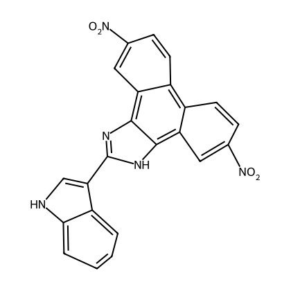 O=[N+]([O-])c1ccc2c3ccc([N+](=O)[O-])cc3c3[nH]c(-c4c[nH]c5ccccc45)nc3c2c1